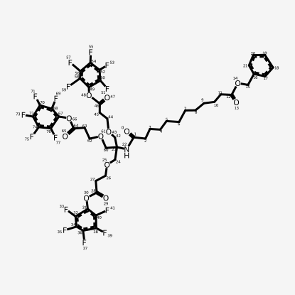 O=C(CCCCCCCCCCC(=O)OCc1ccccc1)NC(COCCC(=O)Oc1c(F)c(F)c(F)c(F)c1F)(COCCC(=O)Oc1c(F)c(F)c(F)c(F)c1F)COCCC(=O)Oc1c(F)c(F)c(F)c(F)c1F